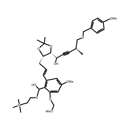 COCOc1cc(OC)cc(/C=C/C[C@@H]2OC(C)(C)O[C@@H]2C(O)C#C[C@H](C)COCc2ccc(OC)cc2)c1C(O)OCC[Si](C)(C)C